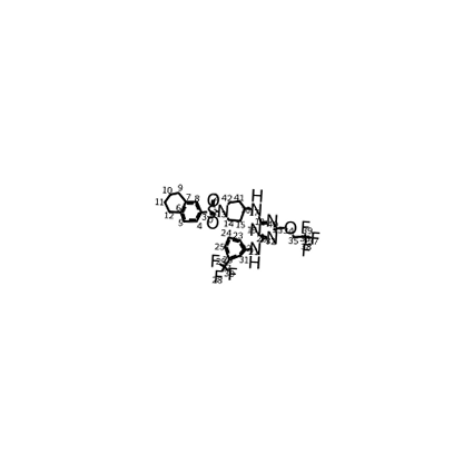 O=S(=O)(c1ccc2c(c1)CCCC2)N1CCC(Nc2nc(Nc3cccc(C(F)(F)F)c3)nc(OCC(F)(F)F)n2)CC1